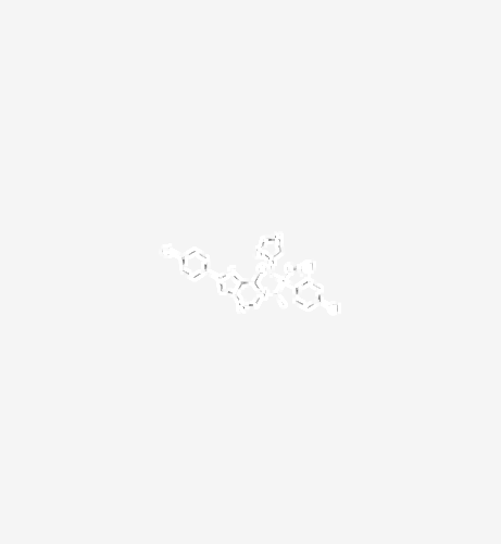 C[C@@H](n1cnc2cc(-c3ccc(Cl)cc3)sc2c1=O)[C@](O)(Cn1cncn1)c1ccc(Cl)cc1Cl